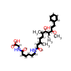 COC(/C=C/c1ccccc1)C(C)[C@@H](O)C(C)/C=C/C(C)=C/C(=O)N/C=C\C/C=C\C(=O)NCC(=O)O